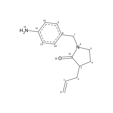 C=CCC1CCN(Cc2ccc(N)cc2)C1=O